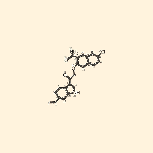 C=Cc1ccc2c(C(=O)COc3cc4ccc(Cl)cc4cc3C(N)=O)c[nH]c2c1